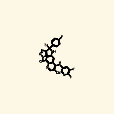 [2H]C(Nc1cc(Cl)c2ncc(C#N)c(Nc3cnc(F)c(F)c3)c2c1)(c1ccc(F)cc1)c1c[nH]nn1